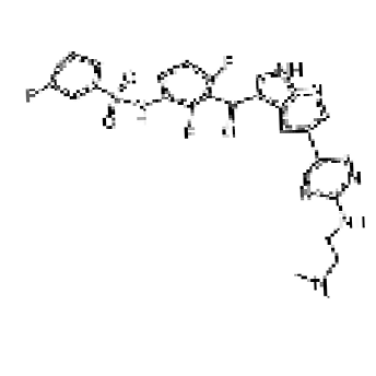 CN(C)CCNc1ncc(-c2cnc3[nH]cc(C(=O)c4c(F)ccc(NS(=O)(=O)c5cccc(F)c5)c4F)c3c2)cn1